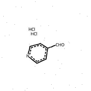 Cl.Cl.O=Cc1ccncc1